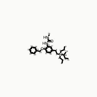 CCC[N+](CCC)(CCc1ccc(OCc2ccccc2)c(NC(=O)NC)c1)C(C)CC